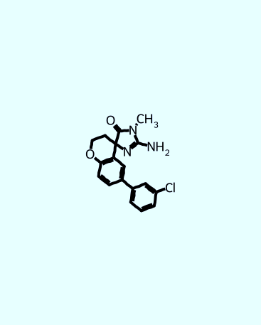 CN1C(=O)C2(CCOc3ccc(-c4cccc(Cl)c4)cc32)N=C1N